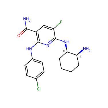 NC(=O)c1cc(F)c(N[C@@H]2CCCC[C@@H]2N)nc1Nc1ccc(Cl)cc1